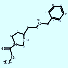 CC(C)(C)OC(=O)N1CCC(CCOCc2ccccc2)CC1